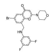 O=c1cc(N2CCOCC2)oc2c(CNc3cc(F)cc(F)c3)cc(Br)cc12